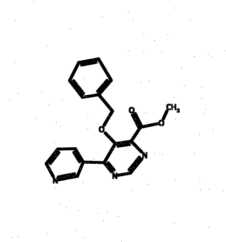 COC(=O)c1ncnc(-c2cccnc2)c1OCc1ccccc1